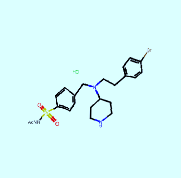 CC(=O)NS(=O)(=O)c1ccc(CN(CCc2ccc(Br)cc2)C2CCNCC2)cc1.Cl